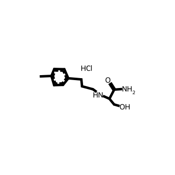 Cc1ccc(CCCNC(CO)C(N)=O)cc1.Cl